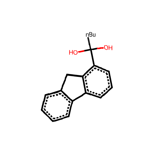 CCCCC(O)(O)c1cccc2c1Cc1ccccc1-2